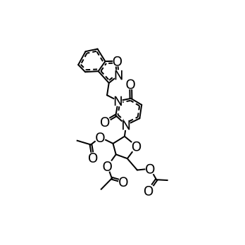 CC(=O)OCC1OC(n2ccc(=O)n(Cc3noc4ccccc34)c2=O)C(OC(C)=O)C1OC(C)=O